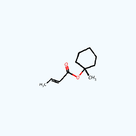 CC=CC(=O)OC1(C)CCCCC1